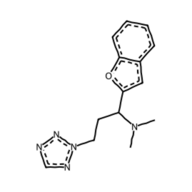 CN(C)C(CCn1ncnn1)c1cc2ccccc2o1